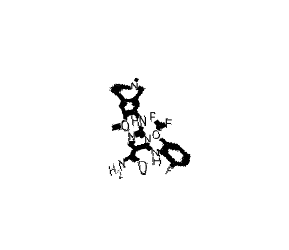 COc1cc2c(cc1Nc1ncc(C(N)=O)c(Nc3c(F)cccc3OC(F)F)n1)CN(C)CC2